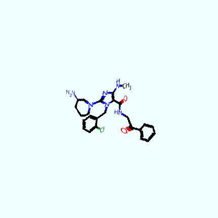 CNc1nc(N2CCC[C@@H](N)C2)n(Cc2ccccc2Cl)c1C(=O)NCC(=O)c1ccccc1